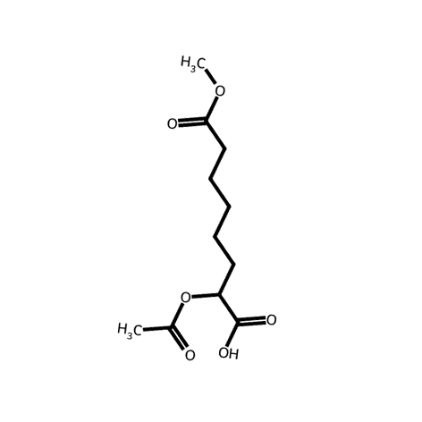 COC(=O)CCCCCC(OC(C)=O)C(=O)O